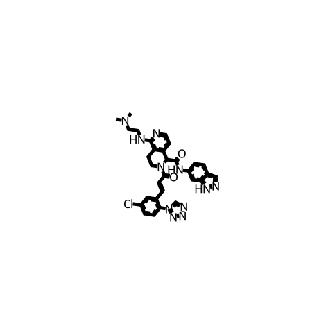 CN(C)CCNc1nccc2c1CCN(C(=O)/C=C/c1cc(Cl)ccc1-n1cnnn1)C2C(=O)Nc1ccc2cn[nH]c2c1